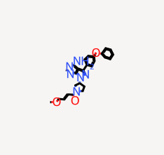 COC/C=C/C(=O)N1CCC(n2nc(-c3ccc(Oc4ccccc4)cc3)c3c(N)ncnc32)C1